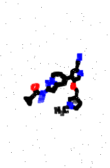 CN1CC[C@H](COc2cnc(C#N)cc2-c2ccn3nc(NC(=O)C4CC4)cc3c2)C1